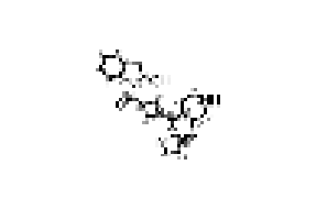 CC1Cc2ccccc2N1C(=O)C1CN(c2c3c(nc4ccnn24)CNCC3)C1